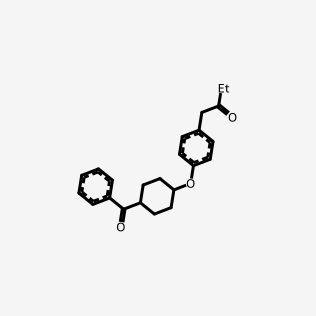 CCC(=O)Cc1ccc(OC2CCC(C(=O)c3ccccc3)CC2)cc1